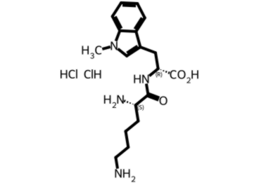 Cl.Cl.Cn1cc(C[C@@H](NC(=O)[C@@H](N)CCCCN)C(=O)O)c2ccccc21